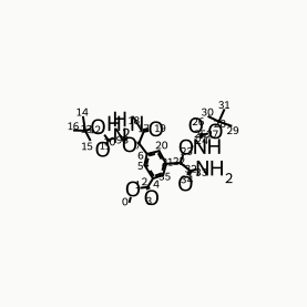 COC(=O)c1cc(C(ONC(=O)OC(C)(C)C)C(N)=O)cc(C(ONC(=O)OC(C)(C)C)C(N)=O)c1